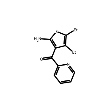 CCc1sc(N)c(C(=O)c2ccccn2)c1CC